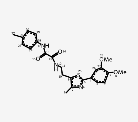 COc1ccc(-c2nc(C)c(CCNC(=O)C(=O)Nc3ccc(C)cc3)s2)cc1OC